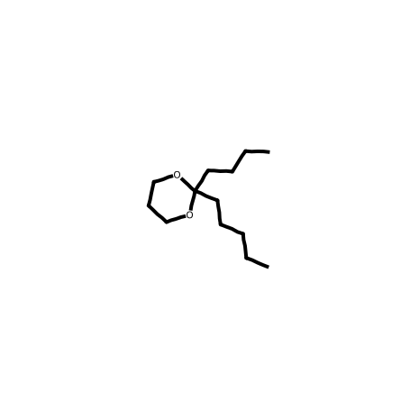 CCCCCC1(CCCC)OCCCO1